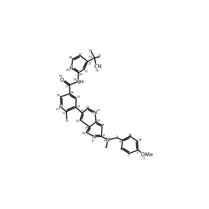 COc1ccc(CN(C)c2cc3ncc(-c4cc(C(=O)Nc5cc(C(C)(C)C#N)ccn5)cnc4C)cc3cn2)cc1